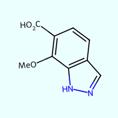 COc1c(C(=O)O)ccc2cn[nH]c12